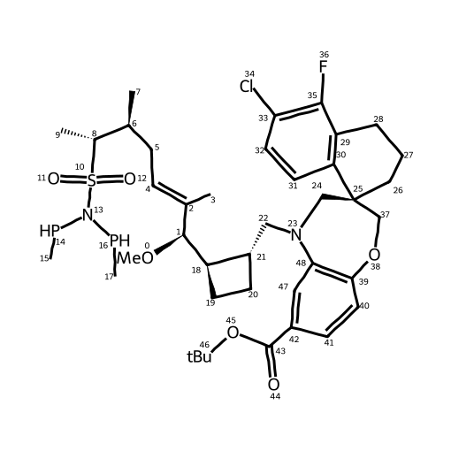 CO[C@@H](/C(C)=C/C[C@H](C)[C@@H](C)S(=O)(=O)N(PC)PC)[C@@H]1CC[C@H]1CN1C[C@@]2(CCCc3c2ccc(Cl)c3F)COc2ccc(C(=O)OC(C)(C)C)cc21